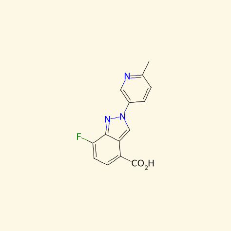 Cc1ccc(-n2cc3c(C(=O)O)ccc(F)c3n2)cn1